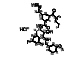 CCCN(C)C(=O)c1cc(C(=O)N[C@@H](Cc2cc(F)cc(F)c2)[C@H](O)CNCc2cccc(OC)c2)cc(/C(C)=N/O)c1.Cl